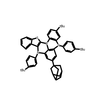 CC(C)(C)c1ccc(N2c3cc(C(C)(C)C)ccc3B3c4sc5ccccc5c4N(c4ccc(C(C)(C)C)cc4)c4cc(C56CC7CC(C5)C(C7)C6)cc2c43)cc1